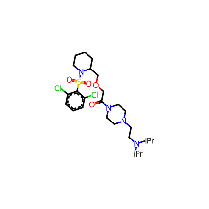 CC(C)N(CCN1CCN(C(=O)COCC2CCCCN2S(=O)(=O)c2c(Cl)cccc2Cl)CC1)C(C)C